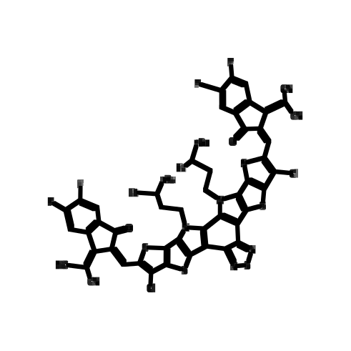 CCCCC(CC)CCn1c2c3sc(/C=C4\C(=O)c5cc(F)c(F)cc5C4=C(C#N)C#N)c(Cl)c3sc2c2c3nsnc3c3c4sc5c(Cl)c(/C=C6\C(=O)c7cc(F)c(F)cc7C6=C(C#N)C#N)sc5c4n(CCC(CC)CCCC)c3c21